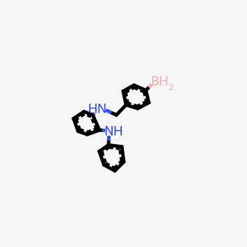 Bc1ccc(CNc2ccccc2Nc2ccccc2)cc1